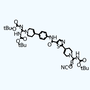 CC(C)(C)OC(=O)N=C(NC(=O)OC(C)(C)C)N1CC=C(c2ccc(NC(=O)c3cnc(C4=CCN(C(=BOC#N)NC(=O)OC(C)(C)C)CC4)s3)cc2)CC1